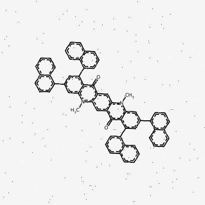 Cn1c2cc3c(=O)c4c(-c5cccc6ccccc56)cc(-c5cccc6ccccc56)cc4n(C)c3cc2c(=O)c2c(-c3cccc4ccccc34)cc(-c3cccc4ccccc34)cc21